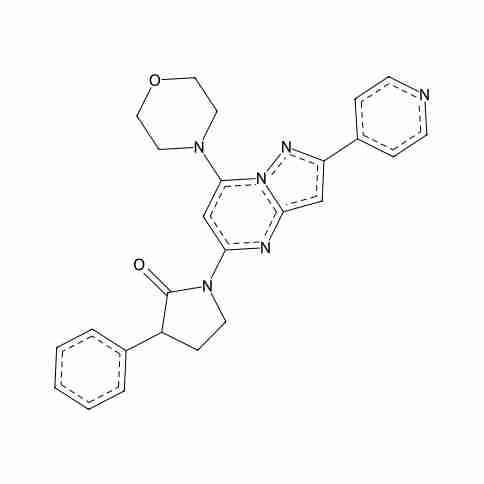 O=C1C(c2ccccc2)CCN1c1cc(N2CCOCC2)n2nc(-c3ccncc3)cc2n1